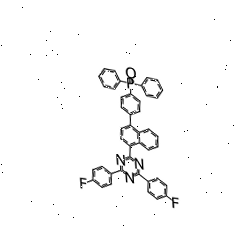 O=P(c1ccccc1)(c1ccccc1)c1ccc(-c2ccc(-c3nc(-c4ccc(F)cc4)nc(-c4ccc(F)cc4)n3)c3ccccc23)cc1